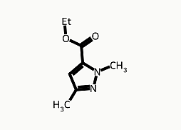 CCOC(=O)c1cc(C)nn1C